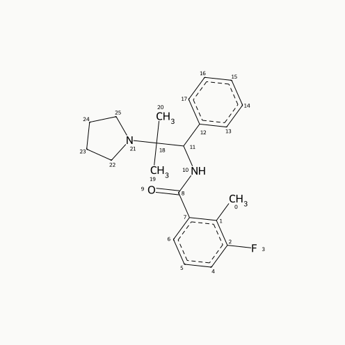 Cc1c(F)cccc1C(=O)NC(c1ccccc1)C(C)(C)N1CCCC1